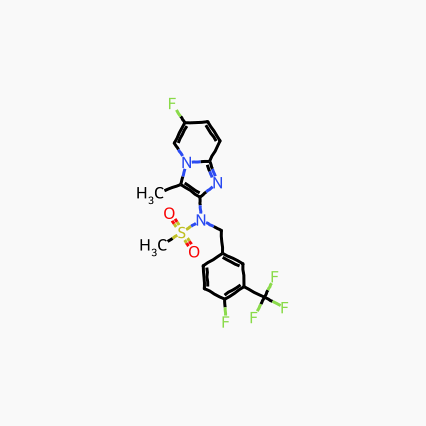 Cc1c(N(Cc2ccc(F)c(C(F)(F)F)c2)S(C)(=O)=O)nc2ccc(F)cn12